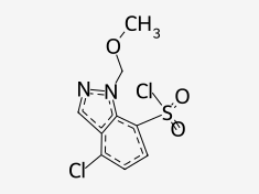 COCn1ncc2c(Cl)ccc(S(=O)(=O)Cl)c21